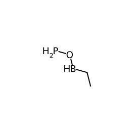 CCBOP